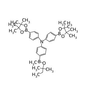 CCC(C)(C)OB(C)c1ccc(N(c2ccc(B3OC(C)(C)C(C)(C)O3)cc2)c2ccc(B3OC(C)(C)C(C)(C)O3)cc2)cc1